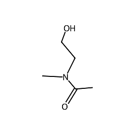 CC(=O)N(C)CCO